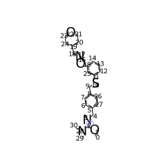 CO/C(=N\Cc1ccc(CSc2cccc(ON=CC3CCOCC3)c2)cc1)N(C)C